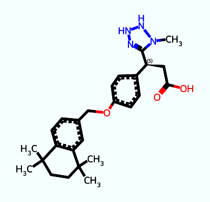 CN1NNN=C1[C@@H](CC(=O)O)c1ccc(OCc2ccc3c(c2)C(C)(C)CCC3(C)C)cc1